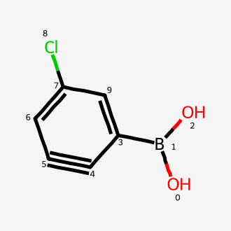 OB(O)c1c#ccc(Cl)c1